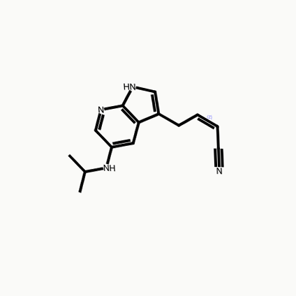 CC(C)Nc1cnc2[nH]cc(C/C=C\C#N)c2c1